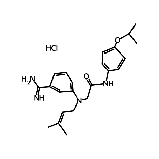 CC(C)=CCN(CC(=O)Nc1ccc(OC(C)C)cc1)c1cccc(C(=N)N)c1.Cl